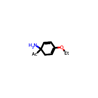 CCOC1=CCC(N)(C(C)=O)C=C1